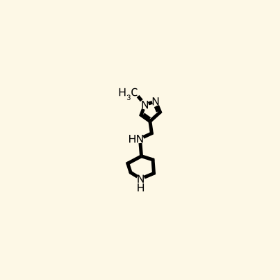 Cn1cc(CNC2CCNCC2)cn1